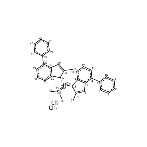 CC1=Cc2c(-c3ccccc3)cccc2[C@@H]1[Hf+2]([C@H]1C(C)=Cc2c(-c3ccccc3)cccc21)=[Si](C)C.[Cl-].[Cl-]